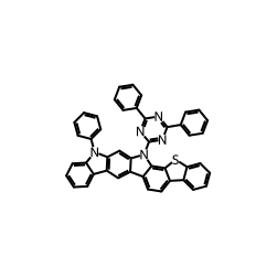 c1ccc(-c2nc(-c3ccccc3)nc(-n3c4cc5c(cc4c4ccc6c7ccccc7sc6c43)c3ccccc3n5-c3ccccc3)n2)cc1